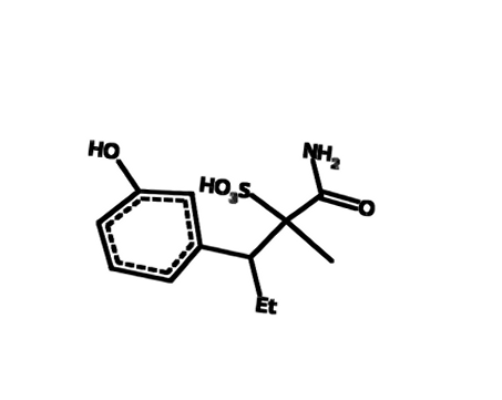 CCC(c1cccc(O)c1)C(C)(C(N)=O)S(=O)(=O)O